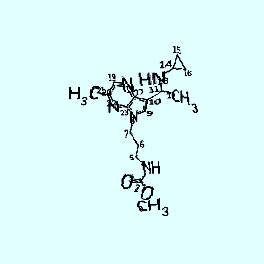 COC(=O)NCCCn1cc(C(C)NC2CC2)c2ncc(C)nc21